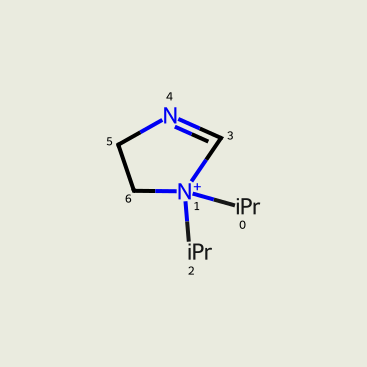 CC(C)[N+]1(C(C)C)C=NCC1